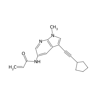 C=CC(=O)Nc1cnc2c(c1)c(C#CC1CCCC1)cn2C